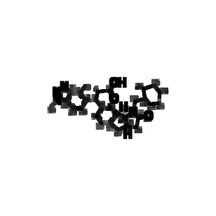 Cc1c(C(CC(=O)O)c2ccc3c(c2)[C@@H]2[C@@H](CC(=O)N2CC2CCCCC2)C3)ccc2c1nnn2C